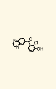 O=C(c1ccc2nccnc2c1)c1cccc(O)c1Cl